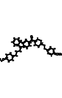 COc1ccc(CCN2CCN(C(=O)c3ccc4c(c3)c3ccccc3n4CCCN3CCN(C)CC3)CC2)cc1